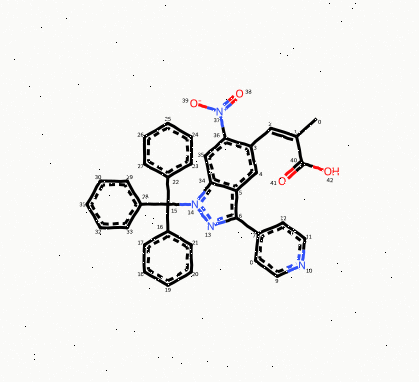 CC(=Cc1cc2c(-c3ccncc3)nn(C(c3ccccc3)(c3ccccc3)c3ccccc3)c2cc1[N+](=O)[O-])C(=O)O